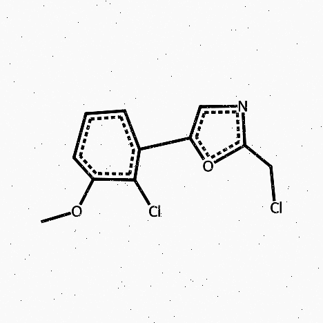 COc1cccc(-c2cnc(CCl)o2)c1Cl